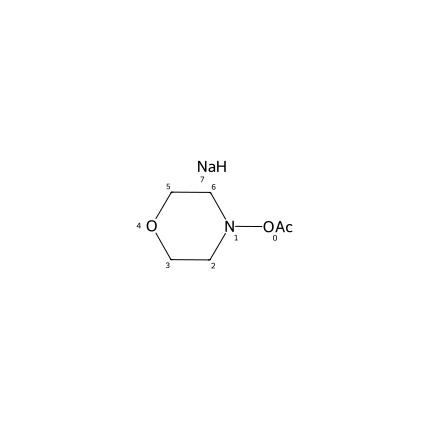 CC(=O)ON1CCOCC1.[NaH]